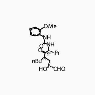 CCCC[C@H](CN(O)C=O)C(=O)[C@@H](NC(=O)Nc1ccccc1OC)C(C)C